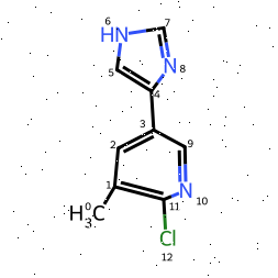 Cc1cc(-c2c[nH]cn2)cnc1Cl